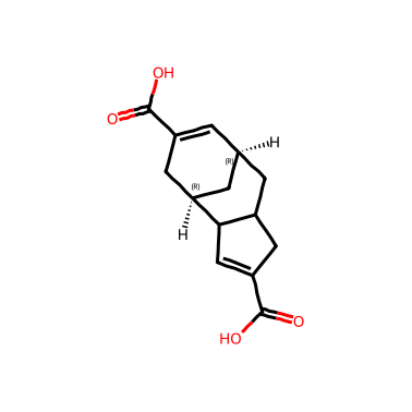 O=C(O)C1=CC2C(C1)C[C@@H]1C=C(C(=O)O)C[C@H]2C1